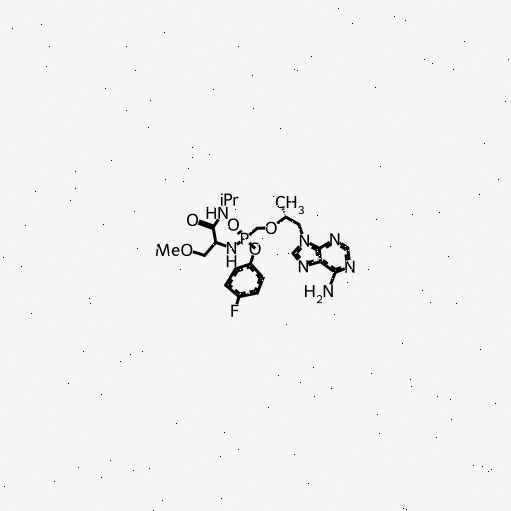 COCC(NP(=O)(CO[C@H](C)Cn1cnc2c(N)ncnc21)Oc1ccc(F)cc1)C(=O)NC(C)C